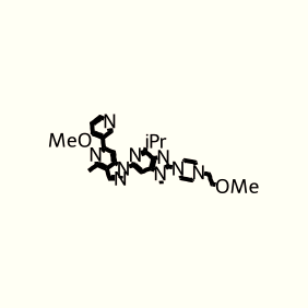 COCCN1CCN(c2nc3c(C(C)C)nc(-n4ncc5c(C)nc(-c6cnccc6OC)cc54)cc3n2C)CC1